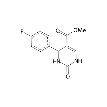 COC(=O)C1=CNC(=O)NC1c1ccc(F)cc1